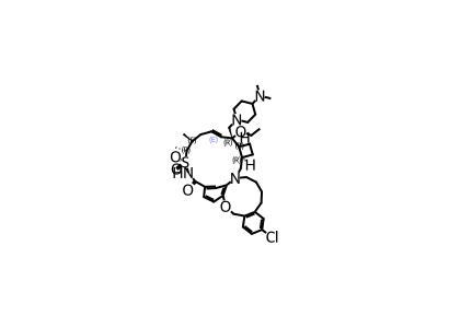 CCO[C@@]1(CN2CCC(N(C)C)CC2)/C=C/C[C@H](C)[C@@H](C)S(=O)(=O)NC(=O)c2ccc3c(c2)N(CCCCc2cc(Cl)ccc2CO3)C[C@@H]2CC[C@H]21